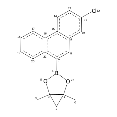 CC12CC1(C)OB(c1cc3cc(Cl)ccc3c3ccccc13)O2